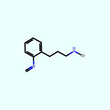 C=Nc1ccccc1CCCNCC